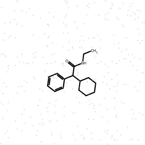 CCNC(=O)C(c1ccccc1)C1CCCCC1